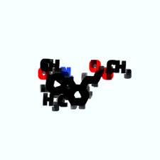 COC(=O)/C=C/C1=CC=CC(C)(c2ccc(OC)cc2)C1C#N